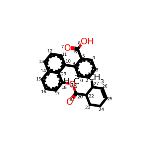 Cc1cccc(C(=O)O)c1-c1cccc2cccc(OC(=O)C3CCC=CC3C)c12